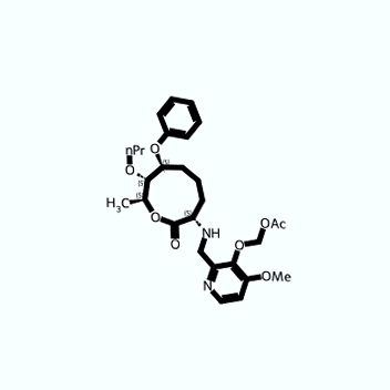 CCCO[C@H]1[C@H](C)OC(=O)[C@@H](NCc2nccc(OC)c2OCOC(C)=O)CCC[C@@H]1Oc1ccccc1